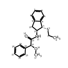 CCS[C@H]1c2ccccc2C[C@@H]1NC(=O)[C@@H](OC)c1ccccc1